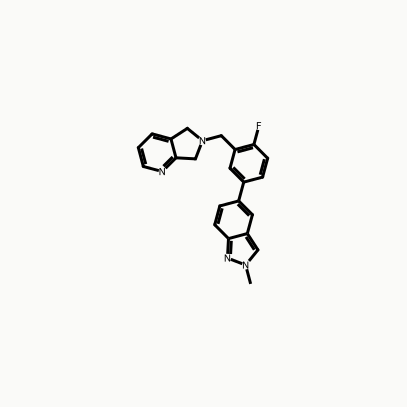 Cn1cc2cc(-c3ccc(F)c(CN4Cc5cccnc5C4)c3)ccc2n1